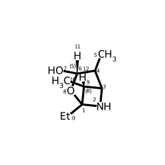 CCC12NC(C(C)[C@@H](O)O1)[C@H]2C